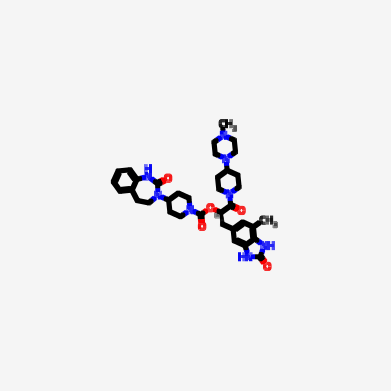 Cc1cc(C[C@@H](OC(=O)N2CCC(N3CCc4ccccc4NC3=O)CC2)C(=O)N2CCC(N3CCN(C)CC3)CC2)cc2[nH]c(=O)[nH]c12